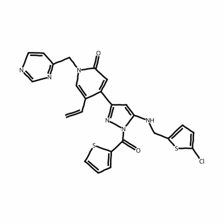 C=Cc1cn(Cc2ccncn2)c(=O)cc1-c1cc(NCc2ccc(Cl)s2)n(C(=O)c2cccs2)n1